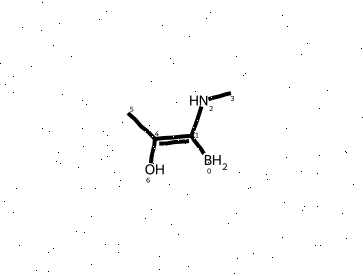 B/C(NC)=C(/C)O